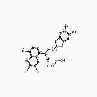 CCc1cc2c(cc1CC)CC(NCC(O)c1ccc(O)c3[nH]c(=O)c(C)cc13)C2.O=C(O)CO